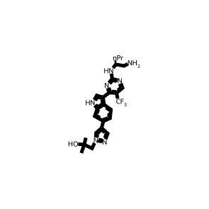 CCC[C@@H](CN)Nc1ncc(C(F)(F)F)c(-c2c[nH]c3cc(-c4cnn(CC(C)(C)O)c4)ccc23)n1